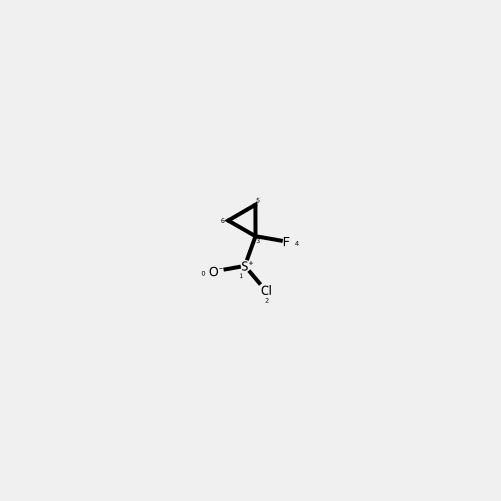 [O-][S+](Cl)C1(F)CC1